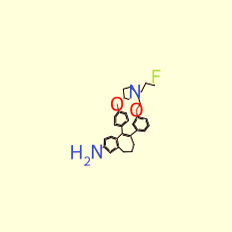 CCOc1cccc(C2=C(c3ccc(OC4CCN(CCCF)C4)cc3)c3ccc(N)cc3CCC2)c1